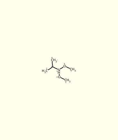 [CH2]C(C)[SiH](OC)OC